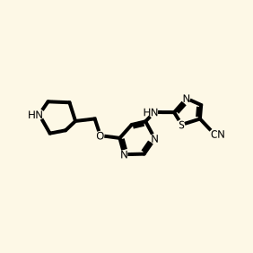 N#Cc1cnc(Nc2cc(OCC3CCNCC3)ncn2)s1